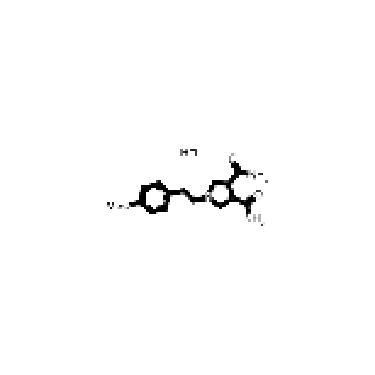 COc1ccc(CCN2CC(C(N)=O)C(C(N)=O)C2)cc1.Cl